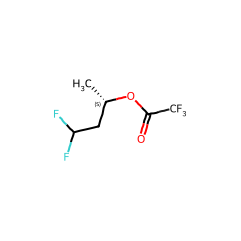 C[C@@H](CC(F)F)OC(=O)C(F)(F)F